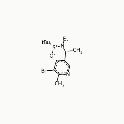 CCN([C@H](C)c1cnc(C)c(Br)c1)[S@+]([O-])C(C)(C)C